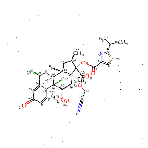 CC(C)c1nc(C(=O)O[C@@]2(C(=O)OCC#N)[C@H](C)C[C@H]3[C@@H]4C[C@H](F)C5=CC(=O)C=C[C@]5(C)[C@@]4(F)[C@@H](O)C[C@@]32C)cs1